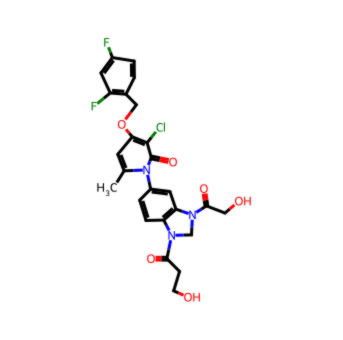 Cc1cc(OCc2ccc(F)cc2F)c(Cl)c(=O)n1-c1ccc2c(c1)N(C(=O)CO)CN2C(=O)CCO